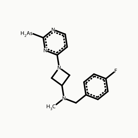 CN(Cc1ccc(F)cc1)C1CN(c2ccnc([AsH2])n2)C1